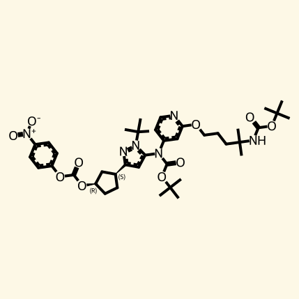 CC(C)(CCCOc1cc(N(C(=O)OC(C)(C)C)c2cc([C@H]3CC[C@@H](OC(=O)Oc4ccc([N+](=O)[O-])cc4)C3)nn2C(C)(C)C)ccn1)NC(=O)OC(C)(C)C